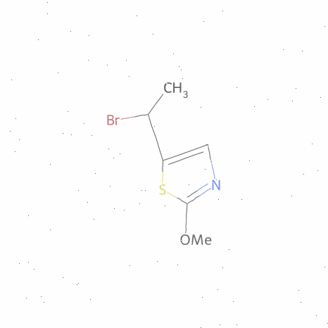 COc1ncc(C(C)Br)s1